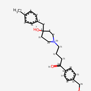 Cc1ccc(CC2(O)CCN(CCCC(=O)c3ccc(CO)cc3)CC2)cc1